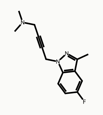 Cc1nn(CC#CCN(C)C)c2ccc(F)cc12